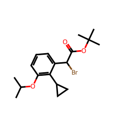 CC(C)Oc1cccc(C(Br)C(=O)OC(C)(C)C)c1C1CC1